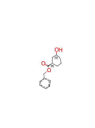 O=C(OCc1ccccc1)[C@@H]1CCC[C@H](O)C1